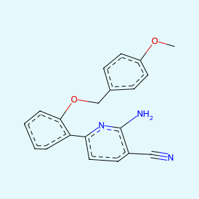 COc1ccc(COc2ccccc2-c2ccc(C#N)c(N)n2)cc1